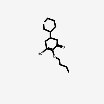 CCCCOC1=C(O)CC(C2CCCSC2)CC1=O